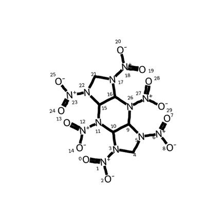 O=[N+]([O-])N1CN([N+](=O)[O-])C2C1N([N+](=O)[O-])C1C(N([N+](=O)[O-])CN1[N+](=O)[O-])N2[N+](=O)[O-]